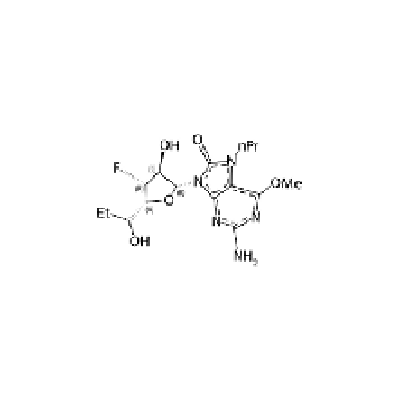 CCCn1c(=O)n([C@@H]2O[C@H](C(O)CC)[C@H](F)[C@H]2O)c2nc(N)nc(OC)c21